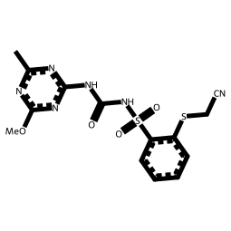 COc1nc(C)nc(NC(=O)NS(=O)(=O)c2ccccc2SCC#N)n1